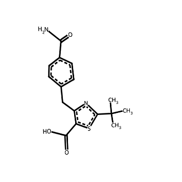 CC(C)(C)c1nc(Cc2ccc(C(N)=O)cc2)c(C(=O)O)s1